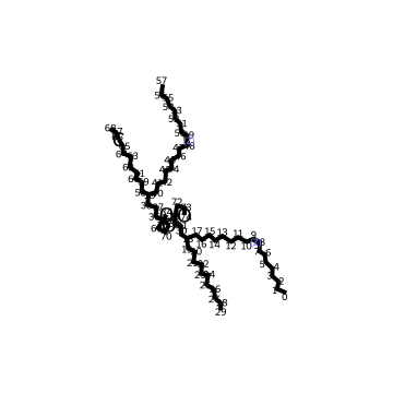 CCCCCCCC/C=C\CCCCCCCCC(CCCCCCCCCCC)CCCC1(OC2(CCCC(CCCCCCCC/C=C\CCCCCCCC)CCCCCCCCCCC)CCO2)CCO1